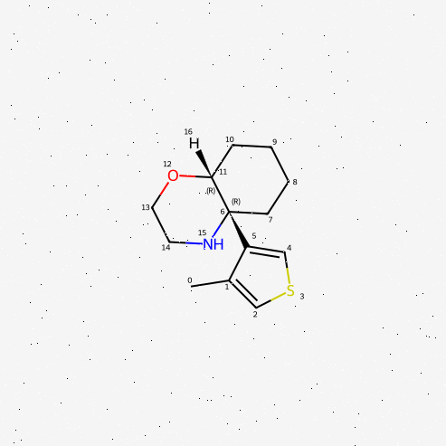 Cc1cscc1[C@]12CCCC[C@H]1OCCN2